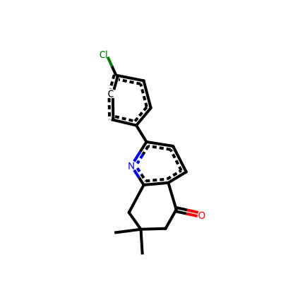 CC1(C)CC(=O)c2ccc(-c3ccc(Cl)cc3)nc2C1